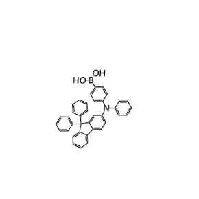 OB(O)c1ccc(N(c2ccccc2)c2ccc3c(c2)C(c2ccccc2)(c2ccccc2)c2ccccc2-3)cc1